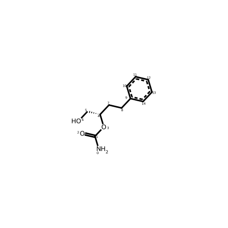 NC(=O)O[C@H](CO)CCc1ccccc1